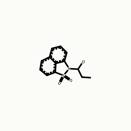 CCC(Cl)N1c2cccc3cccc(c23)S1(=O)=O